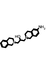 Nc1ccc2c(c1)CCN(CC(O)CN1CCc3ccccc3C1)C2